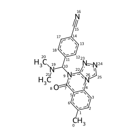 Cc1ccc2c(c1)c(=O)n(C(c1ccc(C#N)cc1)N(C)C)c1nncn21